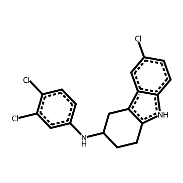 Clc1ccc2[nH]c3c(c2c1)CC(Nc1ccc(Cl)c(Cl)c1)CC3